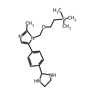 Cc1ncc(-c2ccc(C3NCCN3)cc2)n1COCC[Si](C)(C)C